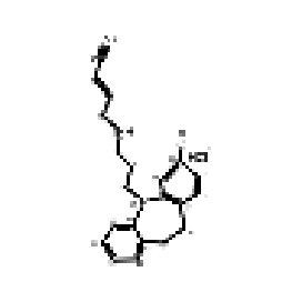 Cl.N#C/C=C/CNCCCN1c2ccccc2CCc2ccc(Cl)cc21